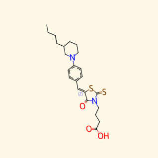 CCCCC1CCCN(c2ccc(/C=C3\SC(=S)N(CCCC(=O)O)C3=O)cc2)C1